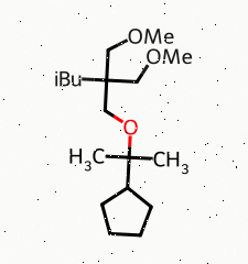 CCC(C)C(COC)(COC)COC(C)(C)C1CCCC1